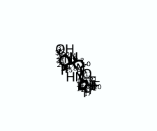 C[C@@H]1Cc2nn3c(c2CN1C(=O)Nc1ccc(F)c(C(F)(F)F)c1)C(F)(F)CC[C@@H](CO)C3